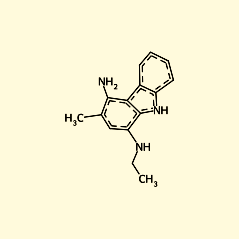 CCNc1cc(C)c(N)c2c1[nH]c1ccccc12